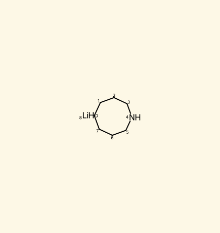 C1CCCNCCC1.[LiH]